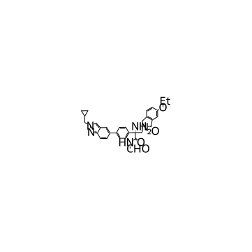 CCOc1ccc2c(c1)C(=O)N(C[C@@](N)(C(=O)NC=O)c1ccc(-c3ccc4nn(CC5CC5)cc4c3)cc1)C2